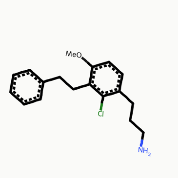 COc1ccc(CCCN)c(Cl)c1CCc1ccccc1